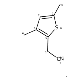 Cc1cc(C)c(CC#N)s1